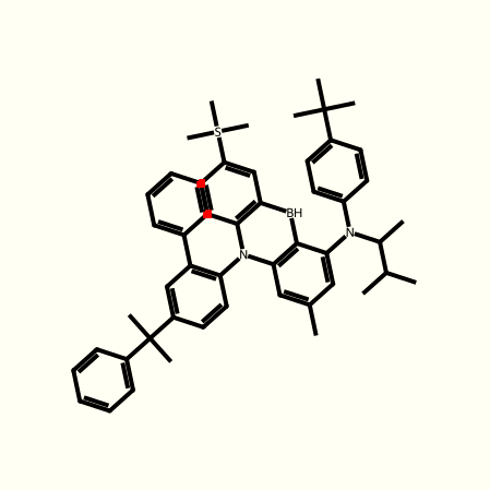 Cc1cc2c(c(N(c3ccc(C(C)(C)C)cc3)C(C)C(C)C)c1)Bc1cc(S(C)(C)C)ccc1N2c1ccc(C(C)(C)c2ccccc2)cc1-c1ccccc1